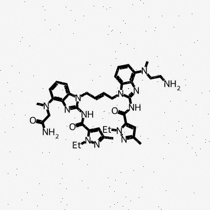 CCn1nc(C)cc1C(=O)Nc1nc2c(N(C)CCN)cccc2n1C/C=C/Cn1c(NC(=O)c2cc(C)nn2CC)nc2c(N(C)CC(N)=O)cccc21